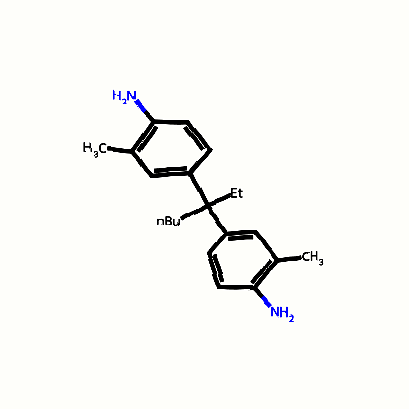 CCCCC(CC)(c1ccc(N)c(C)c1)c1ccc(N)c(C)c1